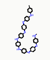 CNc1ccc(N=C2C=CC(=Nc3ccc(Nc4ccc(Nc5ccc(N=C6C=CC(=Nc7ccc(Nc8ccc(C)cc8)cc7)C=C6)cc5)cc4)cc3)C=C2)cc1